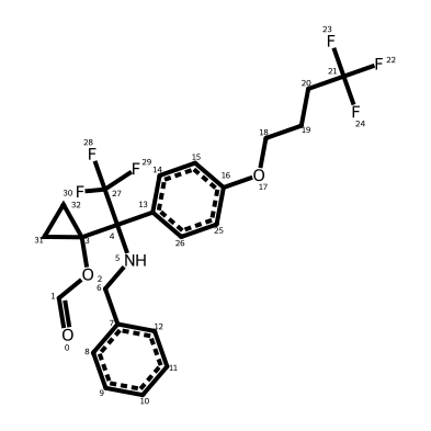 O=COC1(C(NCc2ccccc2)(c2ccc(OCCCC(F)(F)F)cc2)C(F)(F)F)CC1